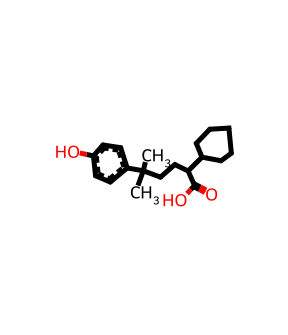 CC(C)(CCC(C(=O)O)C1CCCCC1)c1ccc(O)cc1